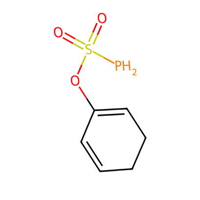 O=S(=O)(P)OC1=CCCC=C1